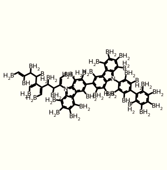 B/C=C(\C(=C/B)C(B)C(B)/C(B)=C/B)C(B)C(B)/C(=C/B)n1c2c(B)c(B)c(B)c(B)c2c2c(B)c(-c3c(B)c(B)c4c(c3B)c3c(B)c(B)c(B)c(B)c3n4-c3c(B)c(B)c(-c4c(B)c(B)c(B)c(B)c4B)c(B)c3B)c(B)c(B)c21